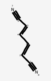 N#CC=CC=CC#N